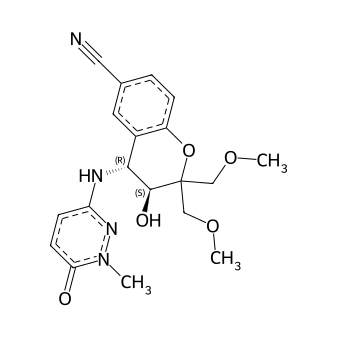 COCC1(COC)Oc2ccc(C#N)cc2[C@@H](Nc2ccc(=O)n(C)n2)[C@@H]1O